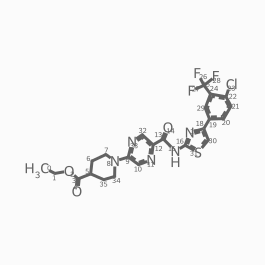 CCOC(=O)C1CCN(c2cnc(C(=O)Nc3nc(-c4ccc(Cl)c(C(F)(F)F)c4)cs3)cn2)CC1